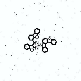 c1ccc2c(c1)oc1c(-c3nc(-n4c5ccccc5c5c6c(ccc54)sc4ccccc46)nc4oc5ccccc5c34)cccc12